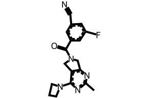 Cc1nc2c(c(N3CCC3)n1)CN(C(=O)c1cc(F)cc(C#N)c1)C2